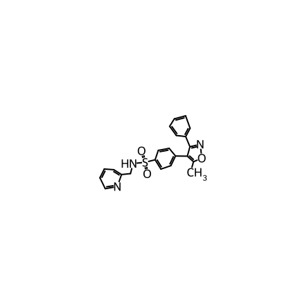 Cc1onc(-c2ccccc2)c1-c1ccc(S(=O)(=O)NCc2ccccn2)cc1